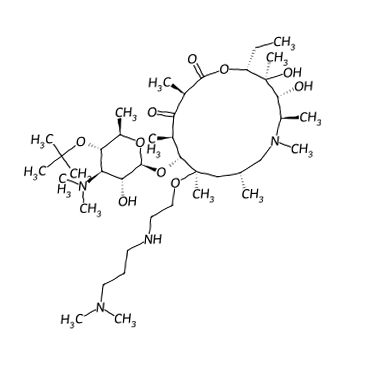 CC[C@H]1OC(=O)[C@H](C)C(=O)[C@H](C)[C@@H](O[C@@H]2O[C@H](C)[C@@H](OC(C)(C)C)[C@H](N(C)C)[C@H]2O)[C@](C)(OCCNCCCN(C)C)C[C@@H](C)CN(C)[C@H](C)[C@@H](O)[C@]1(C)O